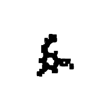 Fc1cc(N=C=S)cc(C(F)(F)F)c1